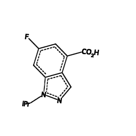 CC(C)n1ncc2c(C(=O)O)cc(F)cc21